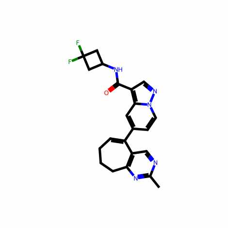 Cc1ncc2c(n1)CCCC=C2c1ccn2ncc(C(=O)NC3CC(F)(F)C3)c2c1